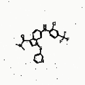 CN(C)C(=O)c1cn(Sc2cccnc2)c2cc(Nc3ccc(C(F)(F)F)cc3Cl)ccc12